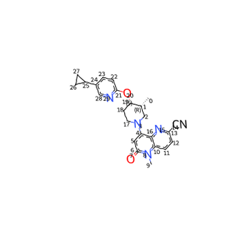 C[C@@H]1CN(c2cc(=O)n(C)c3ccc(C#N)nc23)CC[C@@H]1Oc1ccc(C2CC2)cn1